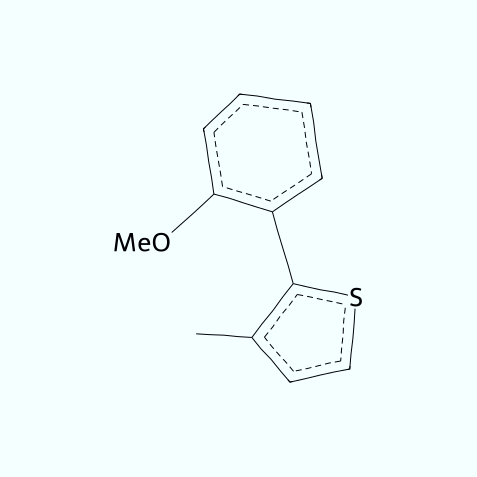 COc1ccccc1-c1sccc1C